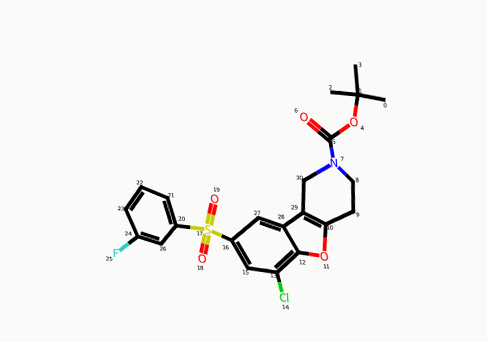 CC(C)(C)OC(=O)N1CCc2oc3c(Cl)cc(S(=O)(=O)c4cccc(F)c4)cc3c2C1